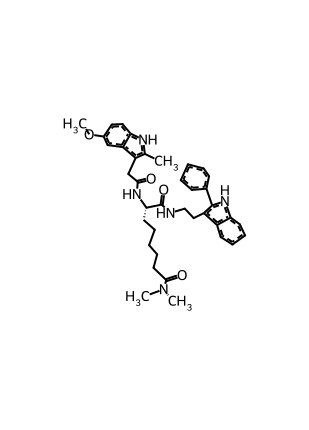 COc1ccc2[nH]c(C)c(CC(=O)N[C@@H](CCCCCC(=O)N(C)C)C(=O)NCCc3c(-c4ccccc4)[nH]c4ccccc34)c2c1